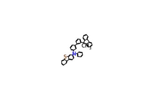 CC1(c2cccc(-c3cccc(N(c4ccccc4)c4ccc5c(c4)sc4ccccc45)c3)c2)c2ccccc2-c2ccccc21